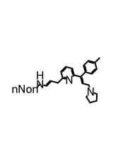 CCCCCCCCCNC=CCc1cccc(C(=CCN2CCCC2)c2ccc(C)cc2)n1